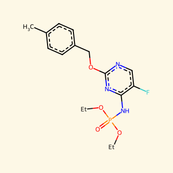 CCOP(=O)(Nc1nc(OCc2ccc(C)cc2)ncc1F)OCC